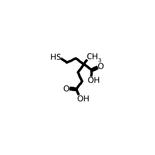 CC(CCS)(CCC(=O)O)C(=O)O